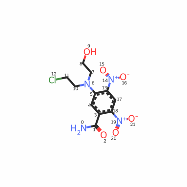 NC(=O)c1cc(N(CCO)CCCl)c([N+](=O)[O-])cc1[N+](=O)[O-]